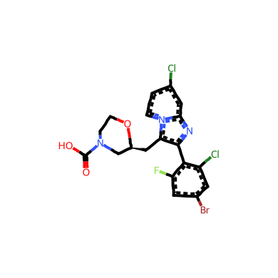 O=C(O)N1CCO[C@@H](Cc2c(-c3c(F)cc(Br)cc3Cl)nc3cc(Cl)ccn23)C1